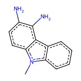 Cn1c2ccccc2c2c(N)c(N)ccc21